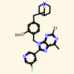 CCc1nc(C)c2nc(-c3cncc(F)c3)n(Cc3ccc(CC4CN5CCC4CC5)cc3OC)c2n1